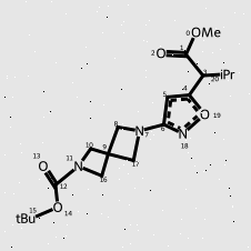 COC(=O)C(c1cc(N2CC3(CN(C(=O)OC(C)(C)C)C3)C2)no1)C(C)C